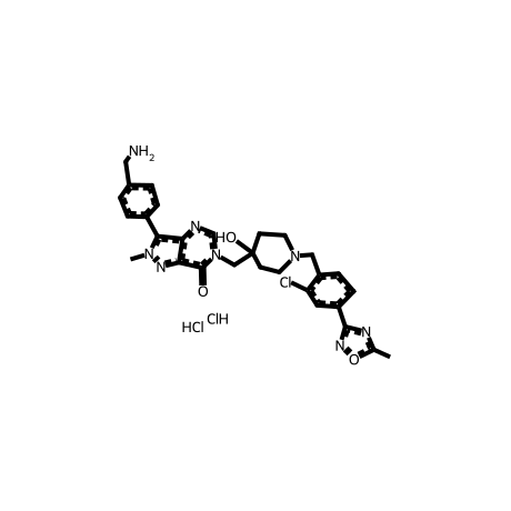 Cc1nc(-c2ccc(CN3CCC(O)(Cn4cnc5c(-c6ccc(CN)cc6)n(C)nc5c4=O)CC3)c(Cl)c2)no1.Cl.Cl